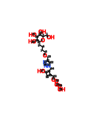 OCC1OC(CCCCOCc2cn(CC3C(O)CC3COOOOO)nn2)C(O)C(O)C1O